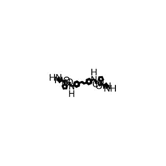 O=C(Nc1ccc(/C=C/c2ccc(NC(=O)[C@@H]3CCCN3C(=O)c3cn[nH]c3)cc2)cc1)[C@@H]1CCCN1C(=O)c1cn[nH]c1